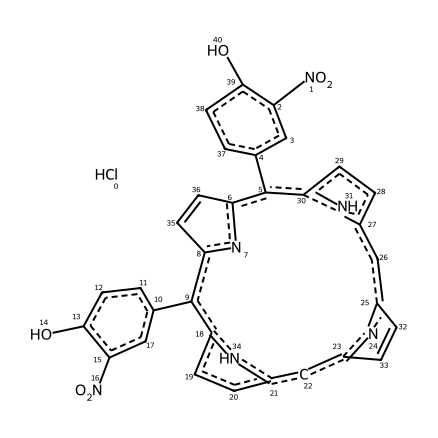 Cl.O=[N+]([O-])c1cc(-c2c3nc(c(-c4ccc(O)c([N+](=O)[O-])c4)c4ccc(cc5nc(cc6ccc2[nH]6)C=C5)[nH]4)C=C3)ccc1O